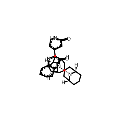 O=c1cc(-c2nc3ccccc3n([C@H]3C[C@H]4CCC[C@@H](C3)N4[C@@H]3C[C@@H]4CC5[C@@H](C4)C[C@H]5C3)c2=O)cc[nH]1